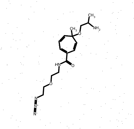 CC(N)COC1(C)C=CC=C(C(=O)NCCOCCN=[N+]=[N-])C=C1